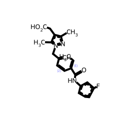 C=C(/C=C\C(=C/C)C(=O)Nc1cccc(F)c1)Cn1nc(C)c(CC(=O)O)c1C